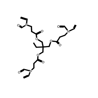 C=CN(C=O)CCC(=O)OCC(CC)(COC(=O)CCN(C=C)C=O)COC(=O)CCN(C=C)C=O